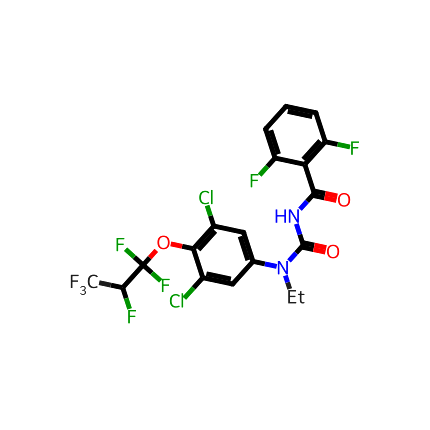 CCN(C(=O)NC(=O)c1c(F)cccc1F)c1cc(Cl)c(OC(F)(F)C(F)C(F)(F)F)c(Cl)c1